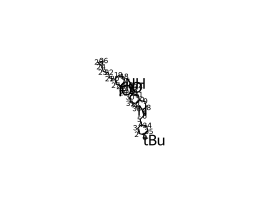 CC(C)(C)c1ccc(CCN2CCc3cc(S(=O)(=O)Nc4ccc(CCCC5CC5)cc4F)ccc3C2)cc1